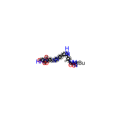 Cc1cc(-c2n[nH]c3ccc(-c4ccc(N5CCN(Cc6ccc7c(c6)C(=O)N(C6CCC(=O)NC6=O)C7=O)CC5)cc4)cc23)ccc1CNC(=O)c1nc(C(C)(C)C)no1